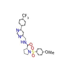 COc1ccc(S(=O)(=O)N2CCC[C@H]2C(=O)NCc2cc(-c3ccc(C(F)(F)F)cc3)ncn2)cc1